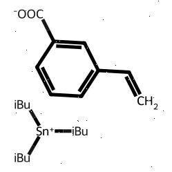 C=Cc1cccc(C(=O)[O-])c1.CC[CH](C)[Sn+]([CH](C)CC)[CH](C)CC